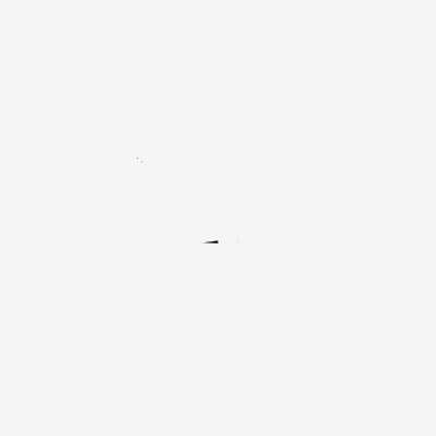 OCc1ccc([C@H](O)[C@H](c2ccccc2)[C@H](O)CSc2ccccn2)cc1